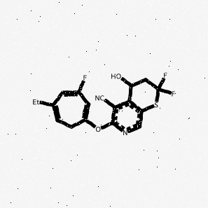 CCC1=CCC(Oc2ncc3c(c2C#N)C(O)CC(F)(F)S3)=CC(F)=C1